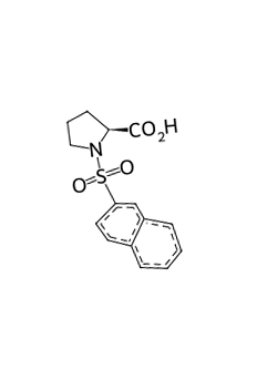 O=C(O)[C@@H]1CCCN1S(=O)(=O)c1ccc2ccccc2c1